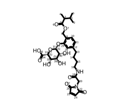 CC(C)C(C)C(=O)OCc1ccc(CCCCNC(=O)CN2C(=O)C=CC2=O)cc1O[C@@H]1O[C@H](C(=O)O)[C@@H](O)[C@H](O)[C@H]1O